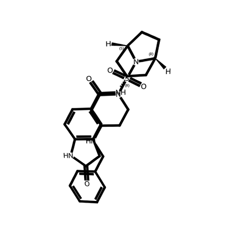 O=C1Cc2cc(C(=O)N[C@H]3C[C@H]4CC[C@@H](C3)N4S(=O)(=O)N3CCC(NCc4ccccc4)CC3)ccc2N1